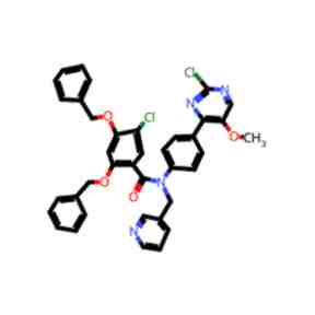 COc1cnc(Cl)nc1-c1ccc(N(Cc2cccnc2)C(=O)c2cc(Cl)c(OCc3ccccc3)cc2OCc2ccccc2)cc1